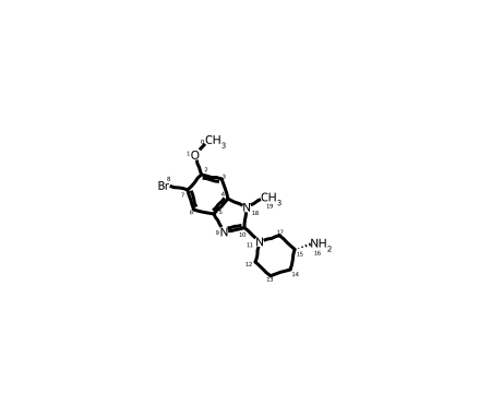 COc1cc2c(cc1Br)nc(N1CCC[C@@H](N)C1)n2C